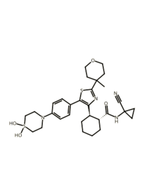 CC1(c2nc([C@@H]3CCCC[C@H]3C(=O)NC3(C#N)CC3)c(-c3ccc(N4CCS(O)(O)CC4)cc3)s2)CCOCC1